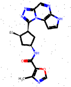 CC[C@@H]1C[C@H](NC(=O)c2ocnc2C)C[C@@H]1c1nnc2cnc3[nH]ccc3n12